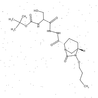 CCCCON1C(=O)N2C[C@@H]1CC[C@H]2C(=O)NNC(=O)C(CO)NC(=O)OC(C)(C)C